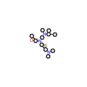 c1ccc(-c2ccc(N(c3ccccc3)c3ccc(N(c4ccc5c(c4)sc4cc(N(c6ccccc6)c6ccccc6)ccc45)c4ccc5oc6ccccc6c5c4)cc3)c3ccccc23)cc1